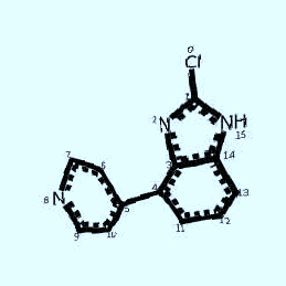 Clc1nc2c(-c3ccncc3)cccc2[nH]1